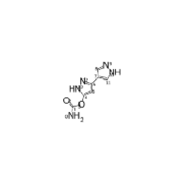 NC(=O)Oc1cc(-c2cn[nH]c2)n[nH]1